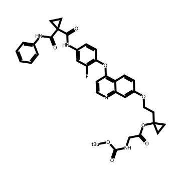 CC(C)(C)OC(=O)NCC(=O)OC1(CCOc2ccc3c(Oc4ccc(NC(=O)C5(C(=O)Nc6ccccc6)CC5)cc4F)ccnc3c2)CC1